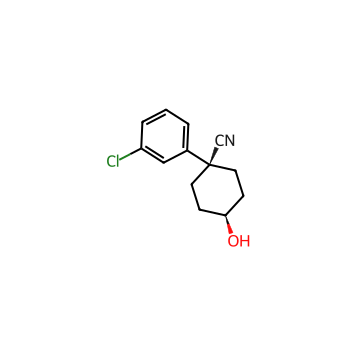 N#C[C@]1(c2cccc(Cl)c2)CC[C@H](O)CC1